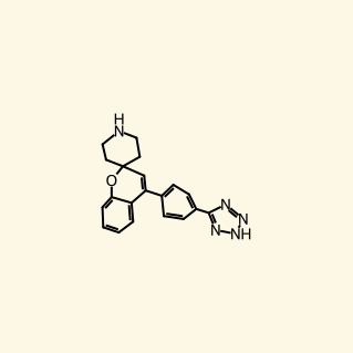 C1=C(c2ccc(-c3nn[nH]n3)cc2)c2ccccc2OC12CCNCC2